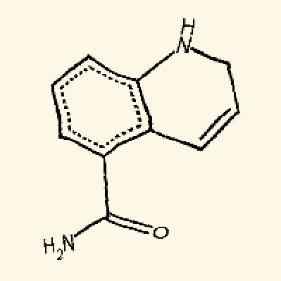 NC(=O)c1cccc2c1C=CCN2